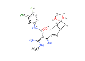 CN/C(N)=C(\C(=N)C1=CC2CC3(OCCO3)C2C1)C(=O)Nc1ccc(F)c(Cl)c1